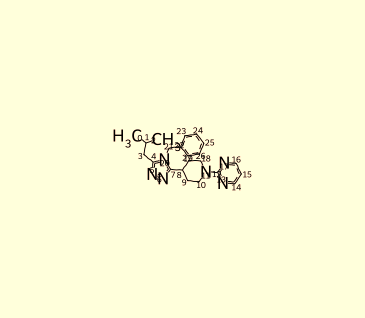 CC(C)Cc1nnc(C2CCN(c3ncccn3)CC2)n1Cc1ccccc1